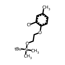 Cc1ccc(OCCO[Si](C)(C)C(C)(C)C)c(Cl)c1